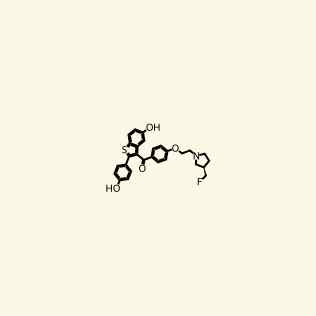 O=C(c1ccc(OCCN2CC[C@@H](CF)C2)cc1)c1c(-c2ccc(O)cc2)sc2ccc(O)cc12